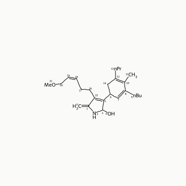 C=C1NC(O)C(C2C=C(CCCC)C(C)=C(CCC)C2)=C1CC/C=C\COC